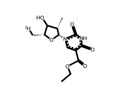 [2H]C[C@H]1O[C@@H](n2cc(C(=O)OCC)c(=O)[nH]c2=O)[C@@H](C)C1O